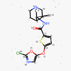 O=C(N[C@H]1CN2CCC1CC2)c1ccc(Oc2cnc(Cl)o2)s1